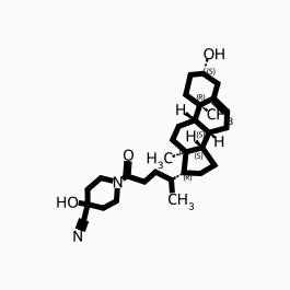 CC(CCC(=O)N1CCC(O)(C#N)CC1)[C@H]1CC[C@H]2[C@@H]3CC=C4C[C@@H](O)CC[C@]4(C)[C@H]3CC[C@]12C